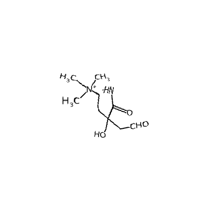 C[N+](C)(C)CCC(O)(CC=O)C([NH])=O